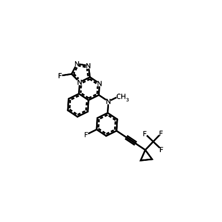 CN(c1cc(F)cc(C#CC2(C(F)(F)F)CC2)c1)c1nc2nnc(F)n2c2ccccc12